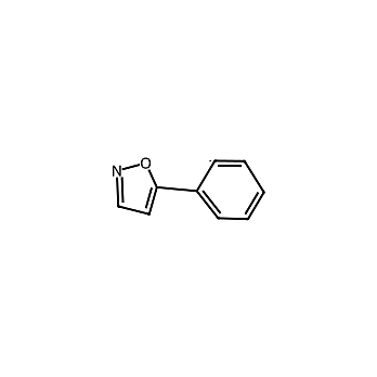 [c]1ccccc1-c1ccno1